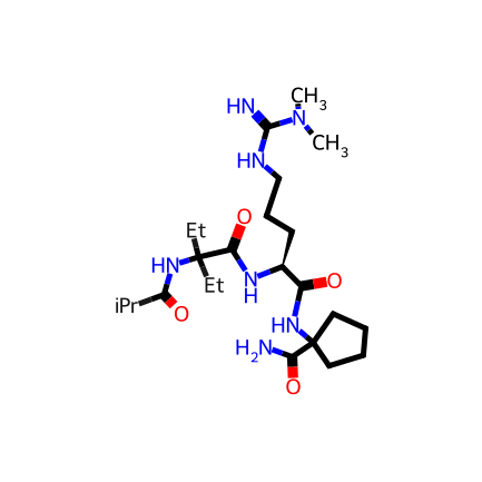 CCC(CC)(NC(=O)C(C)C)C(=O)N[C@@H](CCCNC(=N)N(C)C)C(=O)NC1(C(N)=O)CCCC1